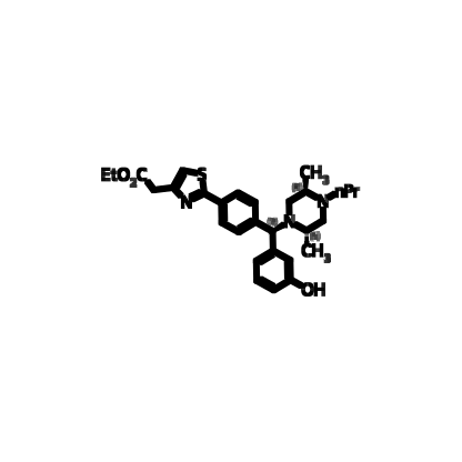 CCCN1C[C@H](C)N([C@H](c2ccc(-c3nc(CC(=O)OCC)cs3)cc2)c2cccc(O)c2)C[C@H]1C